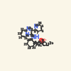 CC(=O)[O-].CC(=O)[O-].[Cu+2].c1ccc(-c2nc3ccccn3c2NC2CCCCC2)nc1